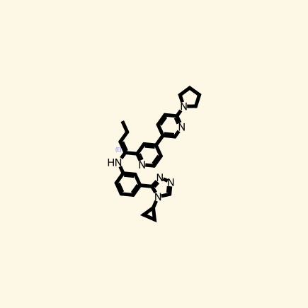 CC/C=C(/Nc1cccc(-c2nncn2C2CC2)c1)c1cc(-c2ccc(N3CCCC3)nc2)ccn1